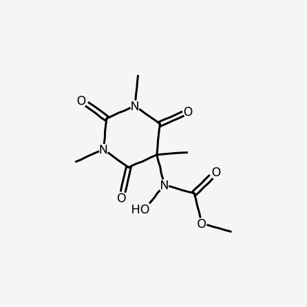 COC(=O)N(O)C1(C)C(=O)N(C)C(=O)N(C)C1=O